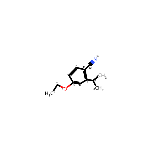 [CH2]C(C)c1cc(OCC)ccc1C#N